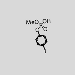 COP(=O)(O)Oc1ccc(I)cc1